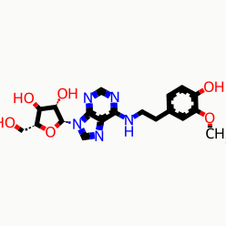 COc1cc(CCNc2ncnc3c2ncn3[C@@H]2O[C@H](CO)C(O)[C@@H]2O)ccc1O